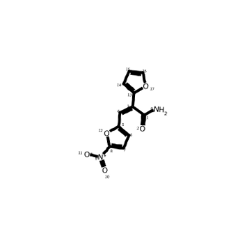 NC(=O)C(=Cc1ccc([N+](=O)[O-])o1)c1ccco1